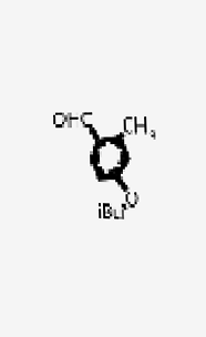 CCC(C)Oc1ccc(C=O)c(C)c1